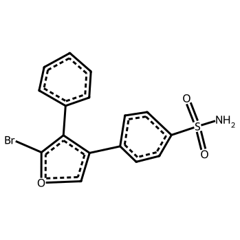 NS(=O)(=O)c1ccc(-c2coc(Br)c2-c2ccccc2)cc1